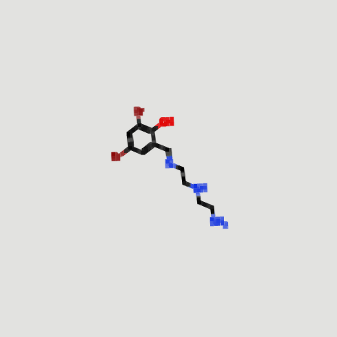 NCCNCCN=Cc1cc(Br)cc(Br)c1O